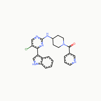 O=C(c1cccnc1)N1CCC(Nc2ncc(Cl)c(-c3c[nH]c4ccccc34)n2)CC1